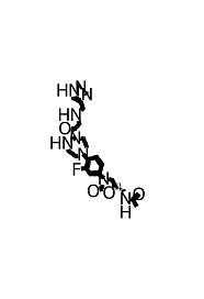 CC(=O)NC[C@H]1CN(c2ccc(N3CCNN(C(=O)CNCc4c[nH]nn4)CC3)c(F)c2)C(=O)O1